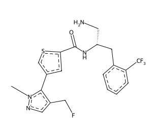 Cn1ncc(CF)c1-c1csc(C(=O)N[C@H](CN)Cc2ccccc2C(F)(F)F)c1